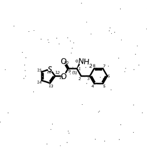 N[C@@H](Cc1ccccc1)C(=O)Oc1cccs1